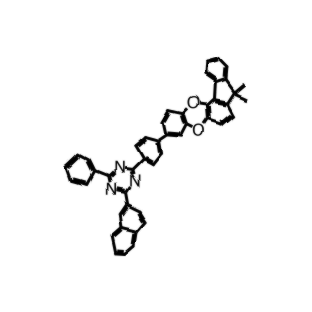 CC1(C)c2ccccc2-c2c1ccc1c2Oc2ccc(-c3ccc(-c4nc(-c5ccccc5)nc(-c5ccc6ccccc6c5)n4)cc3)cc2O1